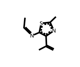 C=C(C)c1nc(C)sc1/N=C\C